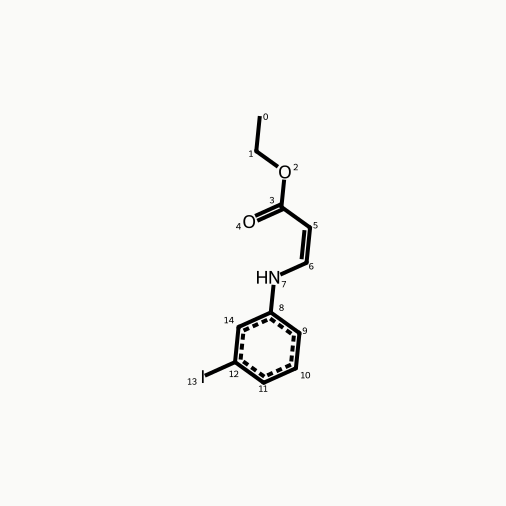 CCOC(=O)/C=C\Nc1cccc(I)c1